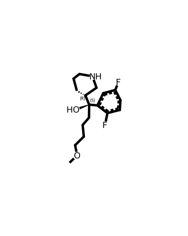 COCCCC[C@@](O)(c1cc(F)ccc1F)[C@@H]1CCCNC1